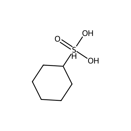 O=[SH](O)(O)C1CCCCC1